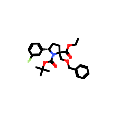 CCOC(=O)[C@@]1(COCc2ccccc2)CC[C@@H](c2cccc(F)c2)N1C(=O)OC(C)(C)C